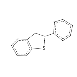 [c]1ccccc1C1Cc2ccccc2S1